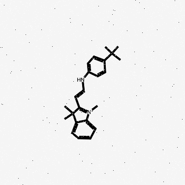 C[N+]1=C(C=CNc2ccc(C(C)(C)C)cc2)C(C)(C)c2ccccc21